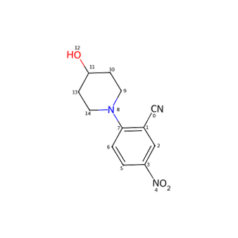 N#Cc1cc([N+](=O)[O-])ccc1N1CCC(O)CC1